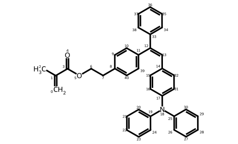 C=C(C)C(=O)OCCc1ccc(/C(=C\c2ccc(N(c3ccccc3)c3ccccc3)cc2)c2ccccc2)cc1